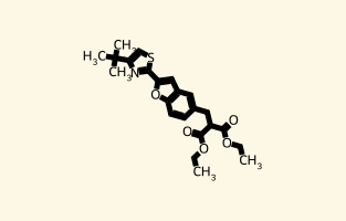 CCOC(=O)C(Cc1ccc2oc(-c3nc(C(C)(C)C)cs3)cc2c1)C(=O)OCC